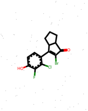 O=C1C(Br)=C(c2ccc(O)c(F)c2Cl)C2CCCC12